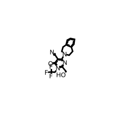 N#Cc1c(N2CCc3ccccc3CC2)nc(CO)n(CC(F)(F)F)c1=O